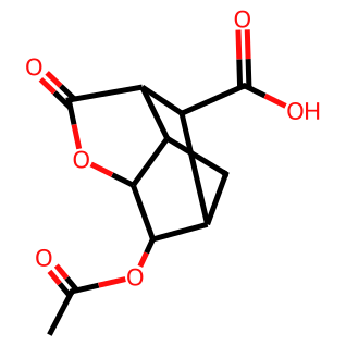 CC(=O)OC1C2CC3C1OC(=O)C3C2C(=O)O